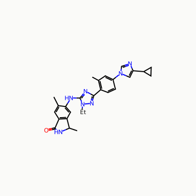 CCn1nc(-c2ccc(-n3cnc(C4CC4)c3)cc2C)nc1Nc1cc2c(cc1C)C(=O)NC2C